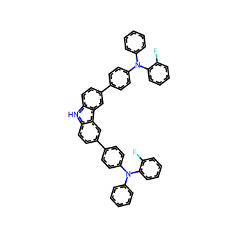 Fc1ccccc1N(c1ccccc1)c1ccc(-c2ccc3[nH]c4ccc(-c5ccc(N(c6ccccc6)c6ccccc6F)cc5)cc4c3c2)cc1